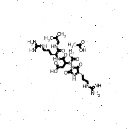 CC(=O)N(C(CC(=O)O)C(=O)N[C@@H](CCCNC(=N)N)C(=O)NCC(C)C)N1C(=O)N[C@@H](CCCNC(=N)N)C1=O.CC(=O)O